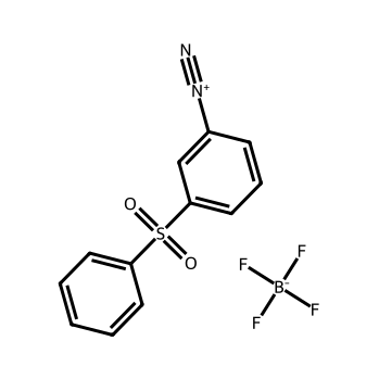 F[B-](F)(F)F.N#[N+]c1cccc(S(=O)(=O)c2ccccc2)c1